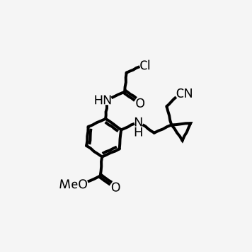 COC(=O)c1ccc(NC(=O)CCl)c(NCC2(CC#N)CC2)c1